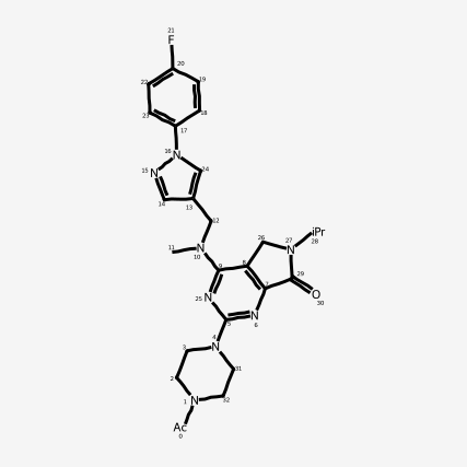 CC(=O)N1CCN(c2nc3c(c(N(C)Cc4cnn(-c5ccc(F)cc5)c4)n2)CN(C(C)C)C3=O)CC1